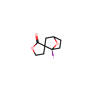 O=C1OCCC12CC1CC[C@@]2(I)O1